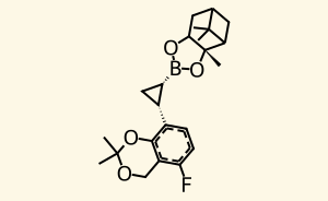 CC1(C)OCc2c(F)ccc([C@@H]3C[C@@H]3B3OC4CC5CC(C5(C)C)[C@]4(C)O3)c2O1